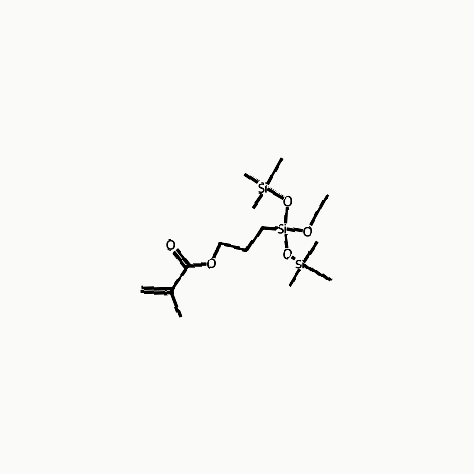 C=C(C)C(=O)OCCC[Si](OC)(O[Si](C)(C)C)O[Si](C)(C)C